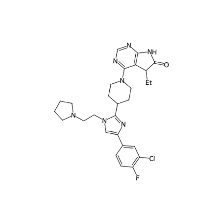 CCC1C(=O)Nc2ncnc(N3CCC(c4nc(-c5ccc(F)c(Cl)c5)cn4CCN4CCCC4)CC3)c21